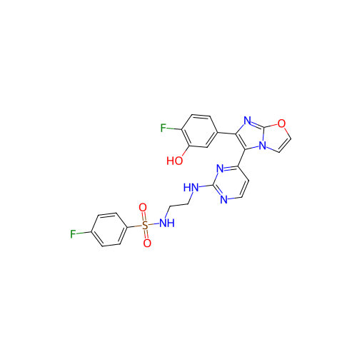 O=S(=O)(NCCNc1nccc(-c2c(-c3ccc(F)c(O)c3)nc3occn23)n1)c1ccc(F)cc1